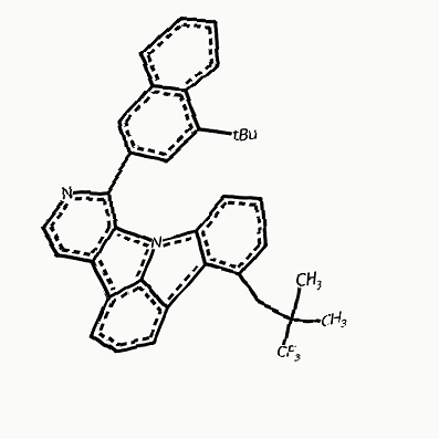 CC(C)(C)c1cc(-c2nccc3c4cccc5c6c(CC(C)(C)C(F)(F)F)cccc6n(c23)c45)cc2ccccc12